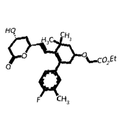 CCOC(=O)COC1CC(c2ccc(F)c(C)c2)=C(/C=C/[C@@H]2C[C@@H](O)CC(=O)O2)C(C)(C)C1